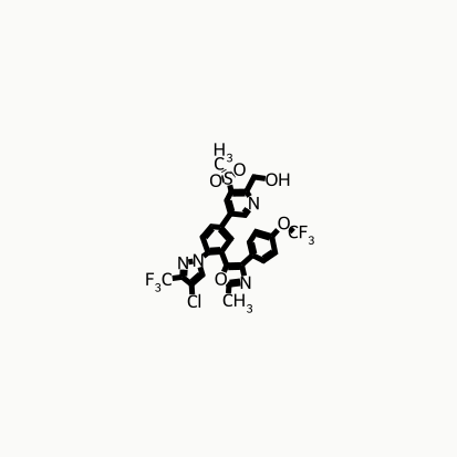 Cc1nc(-c2ccc(OC(F)(F)F)cc2)c(-c2cc(-c3cnc(CO)c(S(C)(=O)=O)c3)ccc2-n2cc(Cl)c(C(F)(F)F)n2)o1